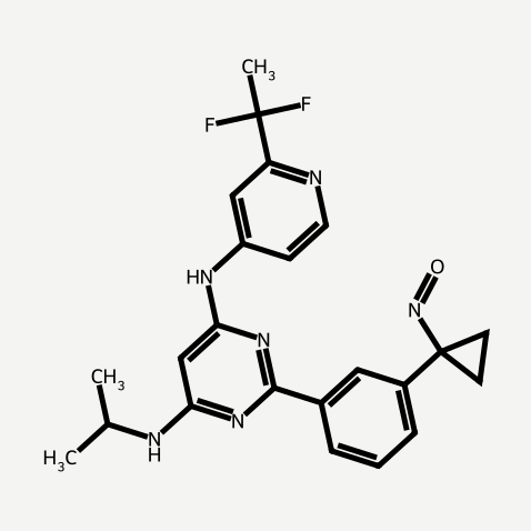 CC(C)Nc1cc(Nc2ccnc(C(C)(F)F)c2)nc(-c2cccc(C3(N=O)CC3)c2)n1